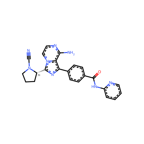 N#CN1CCC[C@H]1c1nc(-c2ccc(C(=O)Nc3ccccn3)cc2)c2c(N)nccn12